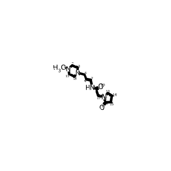 CN1CCN(CCCNC(=O)CN2CCCC2=O)CC1